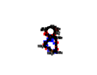 CO[C@H]1C[C@@H]2CC[C@@H](C)[C@@](O)(O2)C(=O)C(=O)N2CCCC[C@H]2C(=O)O[C@H]([C@H](C)C[C@@H]2CC[C@@H](OCCOC(=O)NCCSSCCC(=O)NC[C@H](NC(C)=O)C(=O)N[C@@H](CSSCCOC(=O)NNC(=O)CC[C@H](NC(=O)c3ccc(NCc4cnc5nc(N)[nH]c(=N)c5n4)cc3)C(=O)O)C(=O)O)[C@H](OC)C2)CC(=O)[C@H](C)/C=C(\C)[C@@H](O)[C@@H](OC)C(=O)[C@H](C)C[C@H](C)/C=C/C=C/C=C/1C